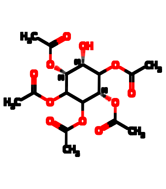 CC(=O)OC1C(OC(C)=O)[C@H](OC(C)=O)[C@H](O)C(OC(C)=O)[C@@H]1OC(C)=O